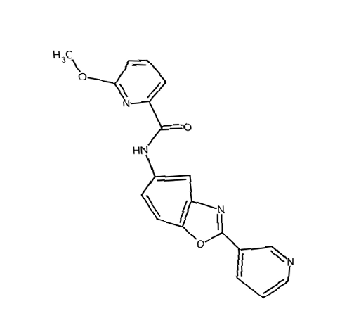 COc1cccc(C(=O)Nc2ccc3oc(-c4cccnc4)nc3c2)n1